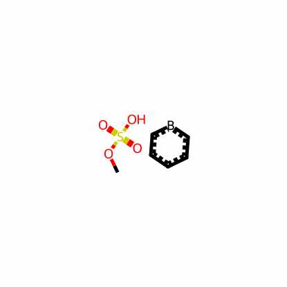 COS(=O)(=O)O.b1ccccc1